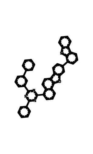 c1ccc(-c2cccc(-c3nc(-c4ccccc4)nc(-c4cccc5c4ccc4c6ccc(-c7cccc8c7sc7ccccc78)cc6oc54)n3)c2)cc1